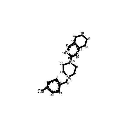 Clc1ccc(CN2CCN(c3ncc4c(n3)CCCC4)CC2)cc1